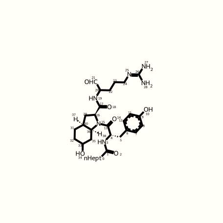 CCCCCCCC(=O)N[C@@H](Cc1ccc(O)cc1)C(=O)N1[C@H](C(=O)NC(C=O)CCCN=C(N)N)C[C@@H]2CCC(O)C[C@@H]21